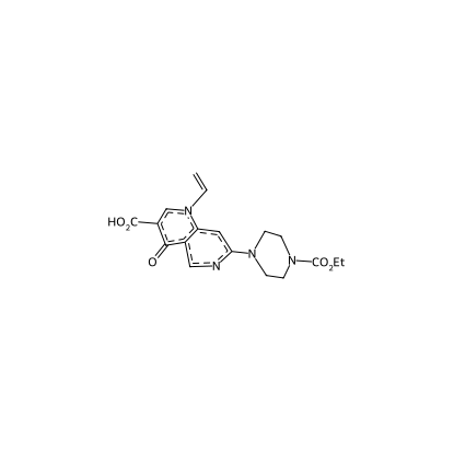 C=Cn1cc(C(=O)O)c(=O)c2cnc(N3CCN(C(=O)OCC)CC3)cc21